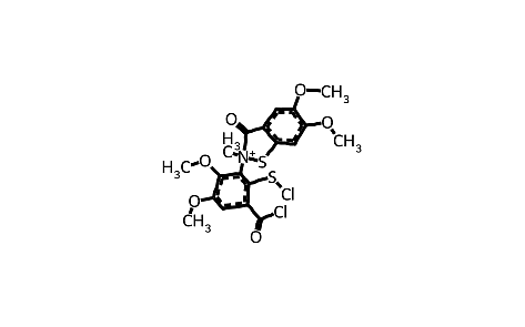 COc1cc2c(cc1OC)C(=O)[N+](C)(c1c(OC)c(OC)cc(C(=O)Cl)c1SCl)S2